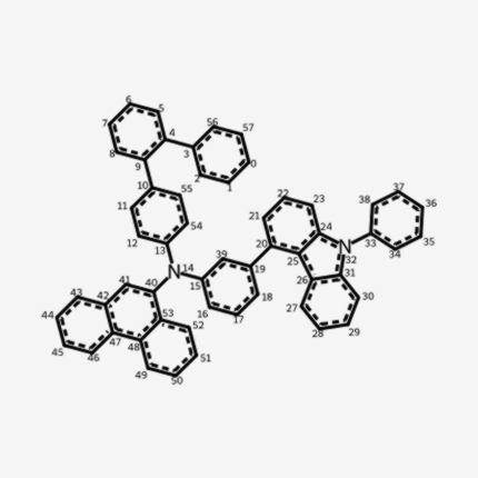 c1ccc(-c2ccccc2-c2ccc(N(c3cccc(-c4cccc5c4c4ccccc4n5-c4ccccc4)c3)c3cc4ccccc4c4ccccc34)cc2)cc1